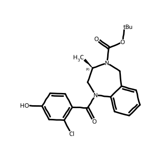 C[C@@H]1CN(C(=O)c2ccc(O)cc2Cl)c2ccccc2CN1C(=O)OC(C)(C)C